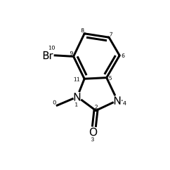 CN1C(=O)[N]c2cccc(Br)c21